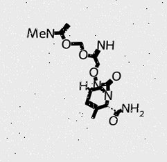 C=C(NC)OCOC(=N)CON1C(=O)N2C[C@@H]1C=C(C)[C@H]2C(N)=O